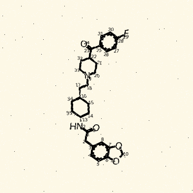 O=C(Cc1ccc2c(c1)OCO2)N[C@H]1CC[C@H](CCN2CCC(C(=O)c3ccc(F)cc3)CC2)CC1